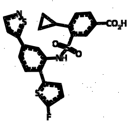 O=C(O)c1ccc(C2CC2)c(S(=O)(=O)Nc2cc(-c3ccns3)ccc2-c2ccc(F)s2)c1